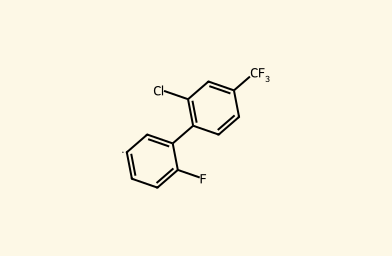 Fc1cc[c]cc1-c1ccc(C(F)(F)F)cc1Cl